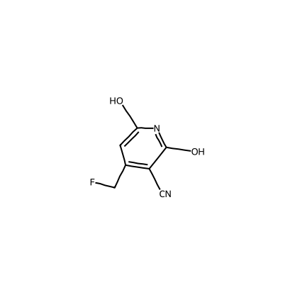 N#Cc1c(CF)cc(O)nc1O